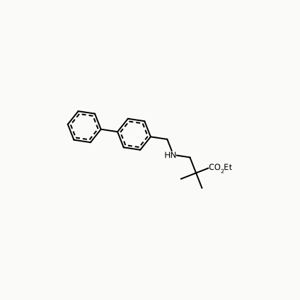 CCOC(=O)C(C)(C)CNCc1ccc(-c2ccccc2)cc1